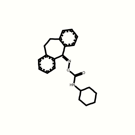 O=C(NC1CCCCC1)ON=C1c2ccccc2CCc2ccccc21